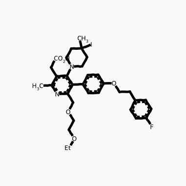 CCOCCOCc1nc(C)c(CC(=O)O)c(N2CCC(C)(I)CC2)c1-c1ccc(OCCc2ccc(F)cc2)cc1